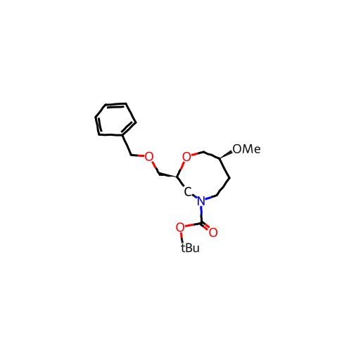 CO[C@H]1CCN(C(=O)OC(C)(C)C)C[C@@H](COCc2ccccc2)OC1